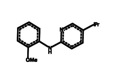 COc1ccccc1Nc1ccc(C(C)C)cn1